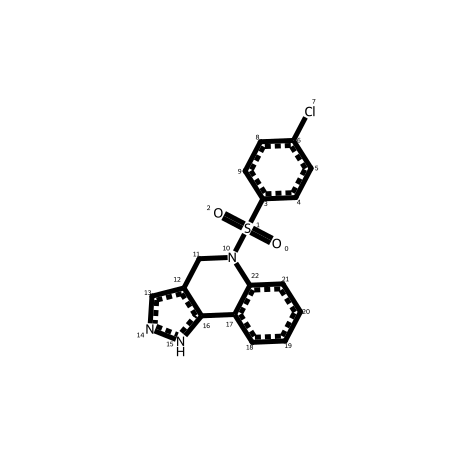 O=S(=O)(c1ccc(Cl)cc1)N1Cc2cn[nH]c2-c2ccccc21